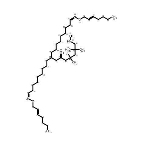 CCCC/C=C/CO/N=C\CCCCCCCCC(CCCCCCCC/C=N\OC/C=C/CCCC)CC(=O)CC(C)(C)CC(C)(C)CNC